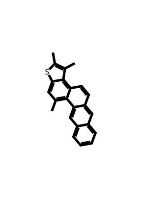 Cc1sc2cc(C)c3c4cc5ccccc5cc4ccc3c2c1C